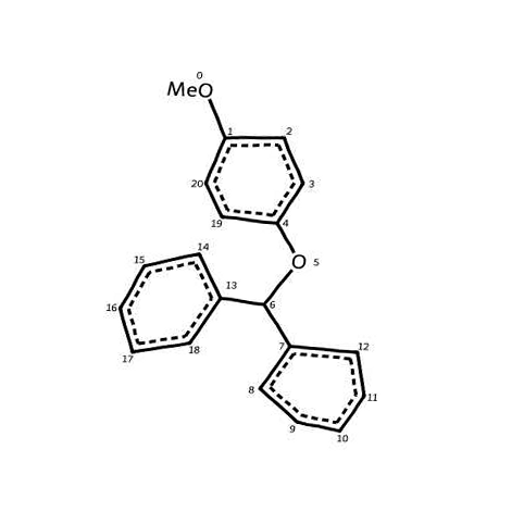 [CH2]Oc1ccc(OC(c2ccccc2)c2ccccc2)cc1